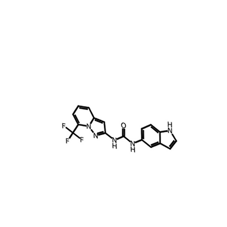 O=C(Nc1ccc2[nH]ccc2c1)Nc1cc2cccc(C(F)(F)F)n2n1